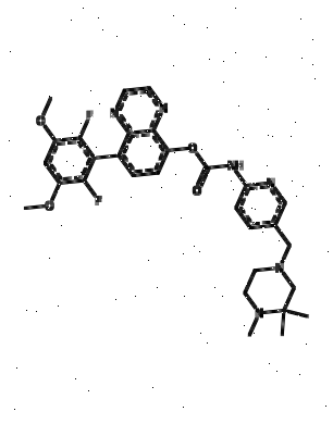 COc1cc(OC)c(F)c(-c2ccc(OC(=O)Nc3ccc(CN4CCN(C)C(C)(C)C4)cn3)c3nccnc23)c1F